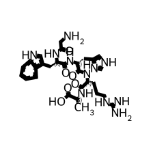 C[C@H](NC(=O)[C@@H](CCCNC(=N)N)NC(=O)[C@@H](Cc1c[nH]cn1)NC(=O)[C@@H](Cc1c[nH]c2ccccc12)NC(=O)CN)C(=O)O